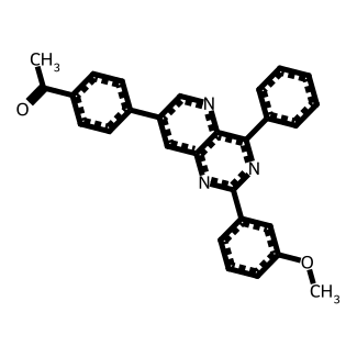 COc1cccc(-c2nc(-c3ccccc3)c3ncc(-c4ccc(C(C)=O)cc4)cc3n2)c1